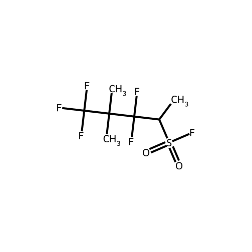 CC(C(F)(F)C(C)(C)C(F)(F)F)S(=O)(=O)F